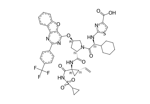 C=C[C@@H]1C[C@]1(NC(=O)[C@@H]1C[C@@H](Oc2nc(-c3ccc(C(F)(F)F)cc3)nc3c2oc2ccccc23)CN1C(=O)[C@@H](Nc1nc(C(=O)O)cs1)C1CCCCC1)C(=O)NS(=O)(=O)C1CC1